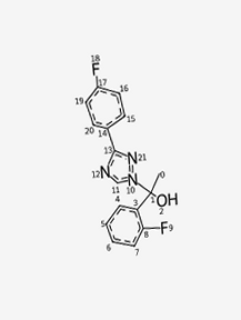 CC(O)(c1ccccc1F)n1cnc(-c2ccc(F)cc2)n1